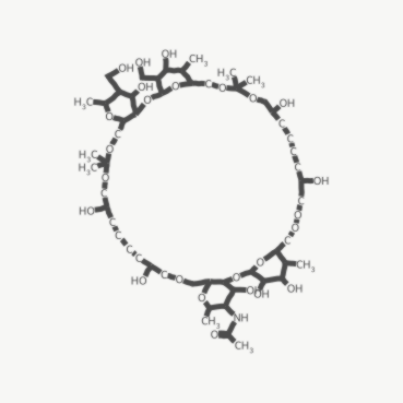 CC(=O)NC1C(C)OC2COCC(O)CCCCC(O)COC(C)(C)OCC3OC(C)C(CO)C(O)C3OC3OC(COC(C)(C)OCC(O)CCCCC(O)COOCC4OC(OC2C1O)C(O)C(O)C4C)C(C)C(O)C3CO